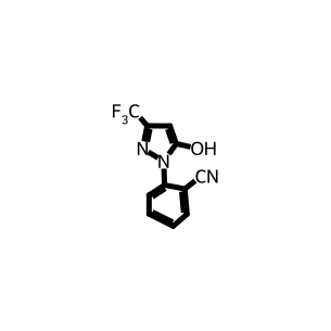 N#Cc1ccccc1-n1nc(C(F)(F)F)cc1O